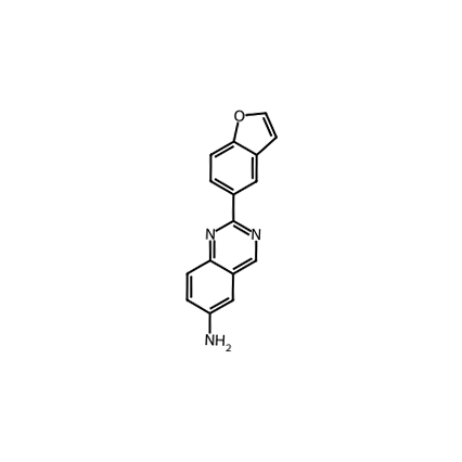 Nc1ccc2nc(-c3ccc4occc4c3)ncc2c1